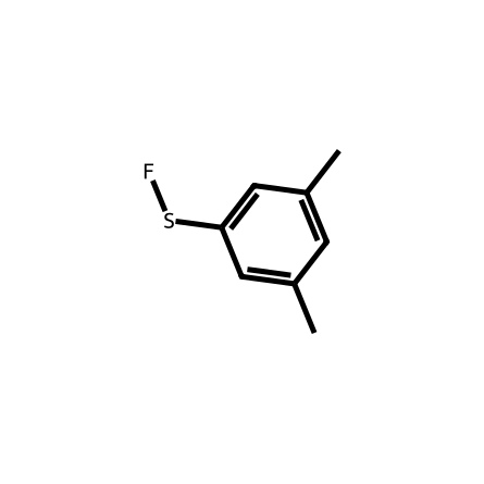 Cc1cc(C)cc(SF)c1